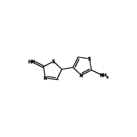 N=C1N=[C]C(c2csc(N)n2)S1